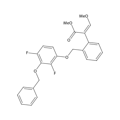 CO/C=C(\C(=O)OC)c1ccccc1COc1ccc(F)c(OCc2ccccc2)c1F